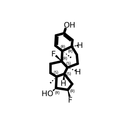 C[C@]12CC[C@@]3(F)[C@@H](CC[C@@H]4C=C(O)C=C[C@@]43C)[C@@H]1C[C@@H](F)[C@@H]2O